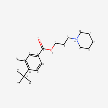 Cc1cc(C(=O)OCCCN2CCCCC2)ccc1C(C)(C)C